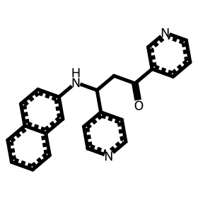 O=C(CC(Nc1ccc2ccccc2c1)c1ccncc1)c1cccnc1